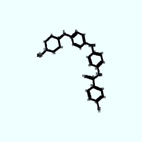 CN1CCC(Oc2ccc(Nc3ccc(NC(=O)c4ccc(Cl)cc4)cc3)cc2)CC1